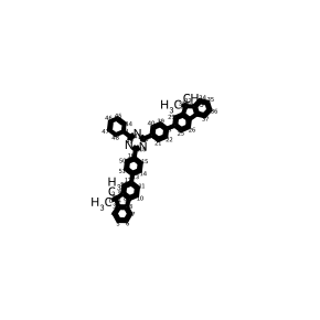 CC1(C)c2ccccc2-c2ccc(-c3ccc(-c4nc(-c5ccc(-c6ccc7c(c6)C(C)(C)c6ccccc6-7)cc5)nc(C5C=CC=CC5)n4)cc3)cc21